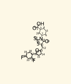 O=C(O)C1CCCC(N2C(=O)C(=Cc3ccc(-c4ccc(F)cc4F)o3)SC2=S)C1